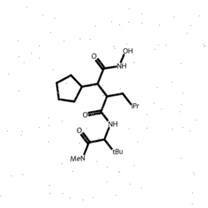 CNC(=O)C(NC(=O)C(CC(C)C)C(C(=O)NO)C1CCCC1)C(C)(C)C